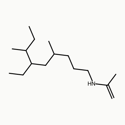 C=C(C)NCCCC(C)CC(CC)C(C)CC